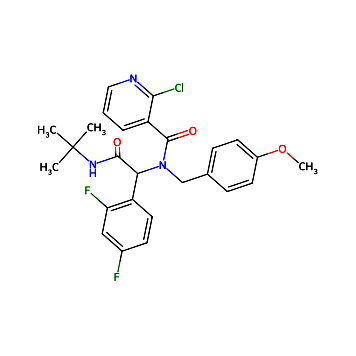 COc1ccc(CN(C(=O)c2cccnc2Cl)C(C(=O)NC(C)(C)C)c2ccc(F)cc2F)cc1